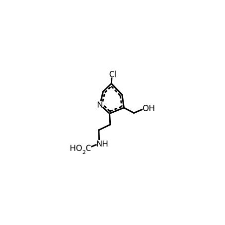 O=C(O)NCCc1ncc(Cl)cc1CO